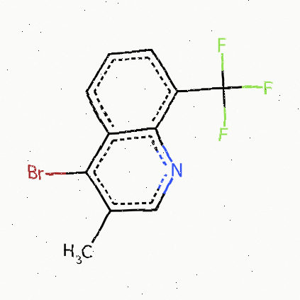 Cc1cnc2c(C(F)(F)F)cccc2c1Br